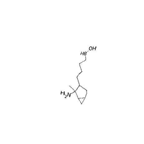 CC1(N)C(CCCCBO)CC2CC21